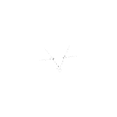 CCCCCCCCCCN(CCCCCCCCCC)C(=O)CCCCCCCN(CCCCCCCC(=O)N(CCCCCCCCCC)CCCCCCCCCC)[C@@H]1CCCC[C@H]1CCO